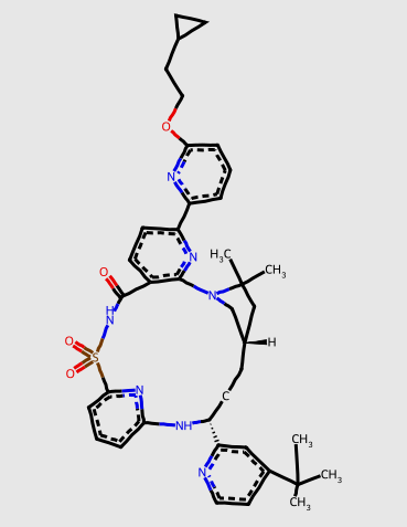 CC(C)(C)c1ccnc([C@H]2CC[C@@H]3CN(c4nc(-c5cccc(OCCC6CC6)n5)ccc4C(=O)NS(=O)(=O)c4cccc(n4)N2)C(C)(C)C3)c1